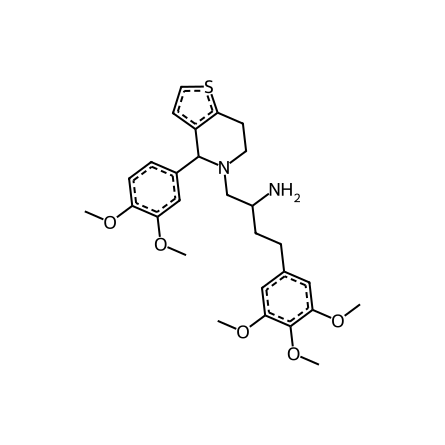 COc1ccc(C2c3ccsc3CCN2CC(N)CCc2cc(OC)c(OC)c(OC)c2)cc1OC